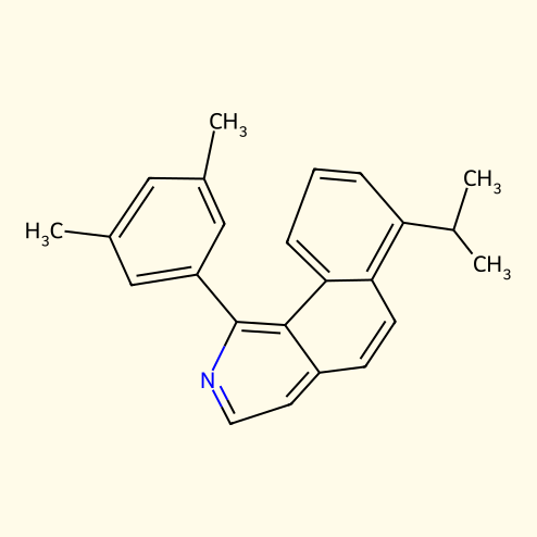 Cc1cc(C)cc(-c2nccc3ccc4c(C(C)C)cccc4c23)c1